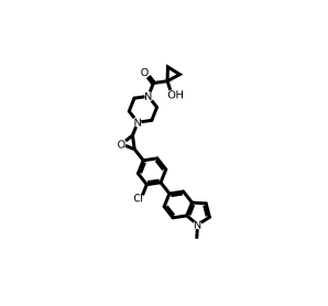 Cn1ccc2cc(-c3ccc(C4OC4N4CCN(C(=O)C5(O)CC5)CC4)cc3Cl)ccc21